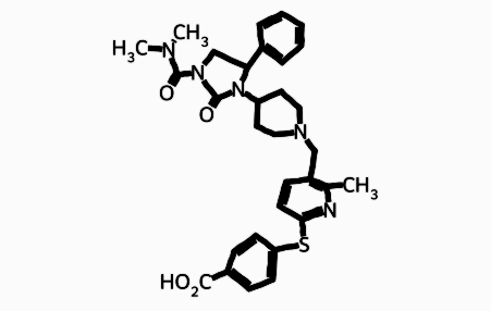 Cc1nc(Sc2ccc(C(=O)O)cc2)ccc1CN1CCC(N2C(=O)N(C(=O)N(C)C)CC2c2ccccc2)CC1